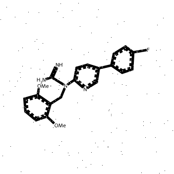 COc1cccc(OC)c1CN(C(=N)N)c1ccc(-c2ccc(F)cc2)cn1